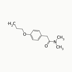 [CH2]CCOc1ccc(CC(=O)N(C)C)cc1